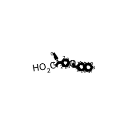 CC#C[C@@H](CC(=O)O)c1ccc(OCC2=CCC3(CCCCC3)CC2)cc1